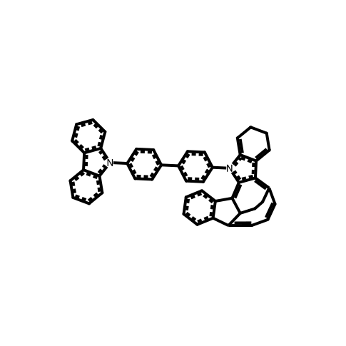 C1=c2c3c(n(-c4ccc(-c5ccc(-n6c7ccccc7c7ccccc76)cc5)cc4)c2=CCC1)=C1c2ccccc2/C2=C/C=C\C=3CCC12